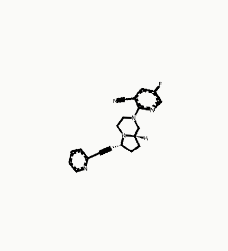 N#Cc1cc(F)cnc1N1CCN2[C@@H](CC[C@@H]2C#Cc2ccccn2)C1